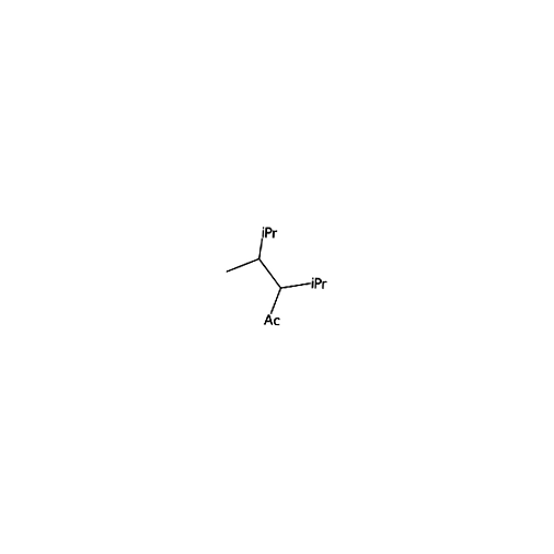 CC(=O)C(C(C)C)C(C)C(C)C